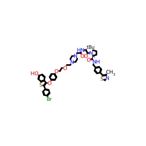 Cc1ncsc1-c1ccc(CNC(=O)[C@@H]2CCCN2C(=O)[C@@H](NC(=O)CN2CCN(CCOCCOc3ccc(Oc4c(-c5ccc(Br)cc5)sc5cc(O)ccc45)cc3)CC2)C(C)(C)C)cc1